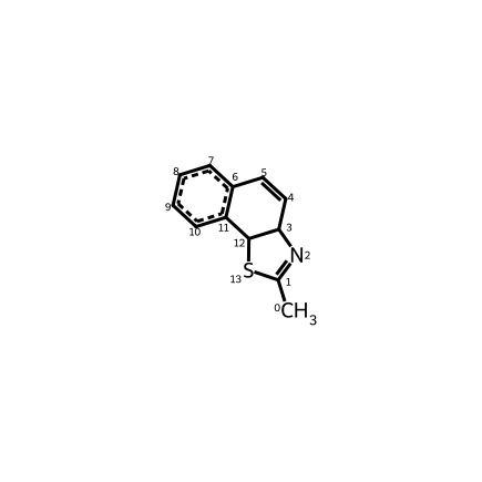 CC1=NC2C=Cc3ccccc3C2S1